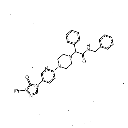 CC(C)n1ncn(-c2ccc(N3CCN(C(C(=O)NCc4ccccc4)c4ccccc4)CC3)nc2)c1=O